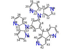 c1cnc2c(c1)C(c1cc(-n3c4ccncc4c4cccnc43)cc(-n3c4cccnc4c4cccnc43)c1)c1cnccc1-2